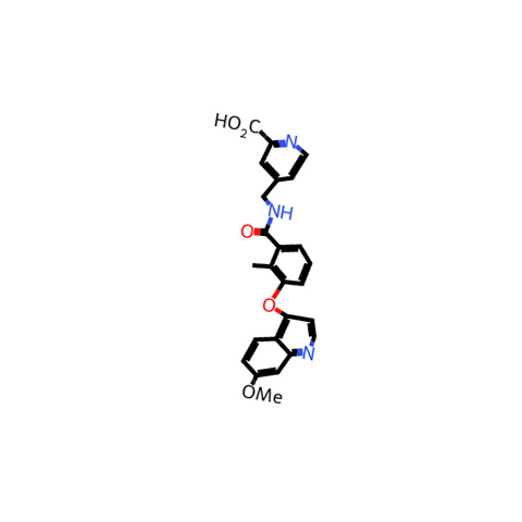 COc1ccc2c(Oc3cccc(C(=O)NCc4ccnc(C(=O)O)c4)c3C)ccnc2c1